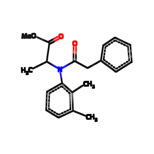 COC(=O)C(C)N(C(=O)Cc1ccccc1)c1cccc(C)c1C